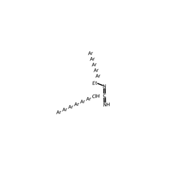 CCN=C=N.Cl.[Ar].[Ar].[Ar].[Ar].[Ar].[Ar].[Ar].[Ar].[Ar].[Ar].[Ar]